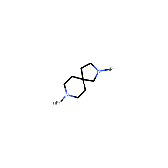 CCCN1CCC2(CC1)CCN(C(C)C)C2